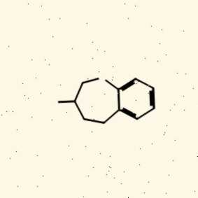 CC1CCc2ccccc2SC1